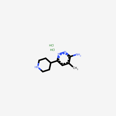 Cc1cc(C2CCNCC2)nnc1N.Cl.Cl